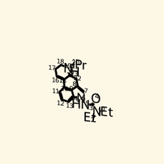 CCN(CC)C(=O)Nn1cc2c3c(cccc31)C1=CCCN(C(C)C)[C@@H]1C2